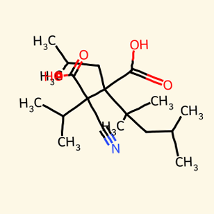 CC(C)CC(C)(C)C(CC(C)C)(C(=O)O)C(C#N)(C(=O)O)C(C)C